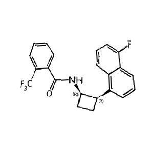 O=C(N[C@@H]1CC[C@@H]1c1cccc2c(F)cccc12)c1ccccc1C(F)(F)F